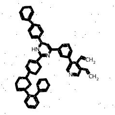 C=Cc1cncc(-c2cccc(C3=CC(c4ccc(C5=CCCC=C5)cc4)NC(C4=CC=C(C5CCC=C(c6ccccc6C6=CCCC=C6)C5)CC4)=N3)c2)c1C=C